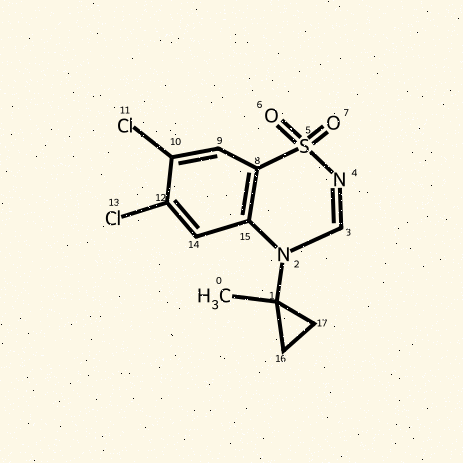 CC1(N2C=NS(=O)(=O)c3cc(Cl)c(Cl)cc32)CC1